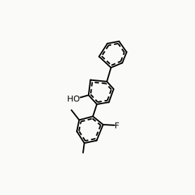 Cc1cc(C)c(-c2ccc(-c3ccccc3)cc2O)c(F)c1